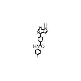 Cc1ccc(NC(=O)c2ccc(-c3ncnc4[nH]ccc34)cc2)cc1